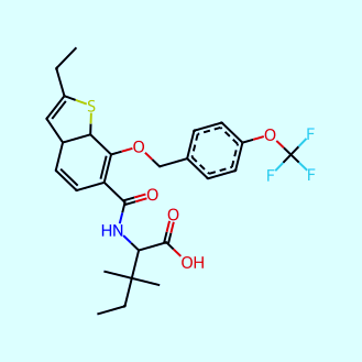 CCC1=CC2C=CC(C(=O)NC(C(=O)O)C(C)(C)CC)=C(OCc3ccc(OC(F)(F)F)cc3)C2S1